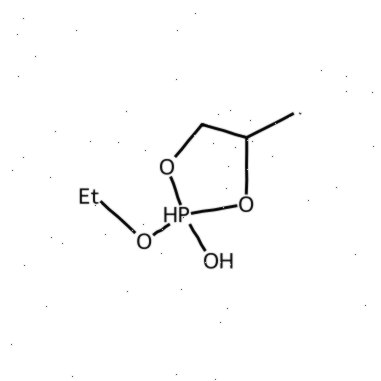 [CH2]C1CO[PH](O)(OCC)O1